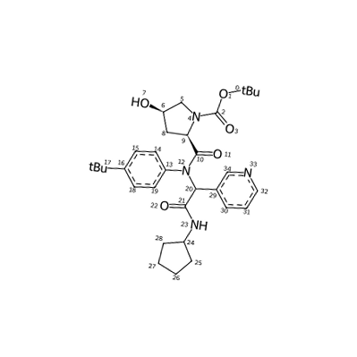 CC(C)(C)OC(=O)N1C[C@H](O)C[C@@H]1C(=O)N(c1ccc(C(C)(C)C)cc1)C(C(=O)NC1CCCC1)c1cccnc1